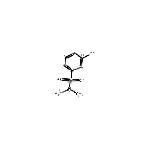 CN(C)S(=O)(=O)c1cccc(F)c1